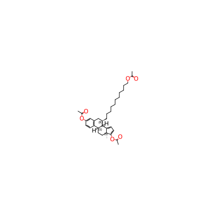 CC(=O)OCCCCCCCCCCC[C@@H]1Cc2cc(OC(C)=O)ccc2[C@H]2CC[C@]3(C)C(OC(C)=O)=CC=C3[C@H]12